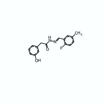 Cc1ccc(F)c(/C=N/NC(=O)Cc2cccc(O)c2)c1